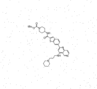 CC(C)(C)OC(=O)N1CCC(NC(=O)c2cc3ccc(-c4cc(NCCCN5CCCCC5)c5cnccc5n4)cc3s2)CC1